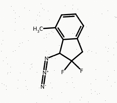 Cc1cccc2c1C(N=[N+]=[N-])C(F)(F)C2